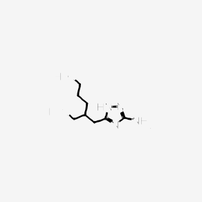 CCCCC(CC)Cc1nc(N)n[nH]1